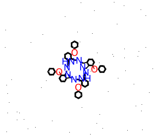 c1ccc(Oc2cccc3c2-c2nc-3nc3[nH]c(nc4nc(nc5[nH]c(n2)c2cccc(Oc6ccccc6)c52)-c2cccc(Oc5ccccc5)c2-4)c2cccc(Oc4ccccc4)c32)cc1